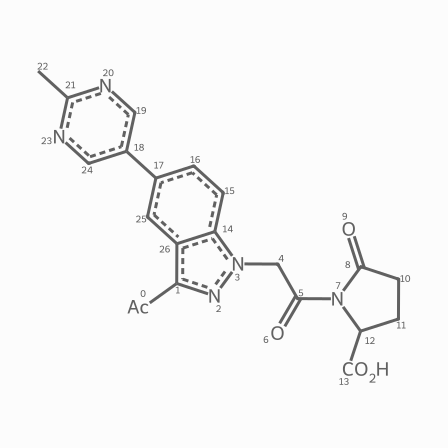 CC(=O)c1nn(CC(=O)N2C(=O)CCC2C(=O)O)c2ccc(-c3cnc(C)nc3)cc12